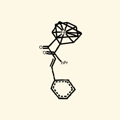 CCCC(=O)[C]12[CH]3[CH]4[CH]5[CH]1[Fe]45321678[CH]2[CH]1[CH]6[C]7(C(=O)C=Cc1ccccc1)[CH]28